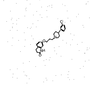 O=C1CCc2ccc(OCCCN3CCC(c4cccc(Cl)c4)CC3)cc2N1